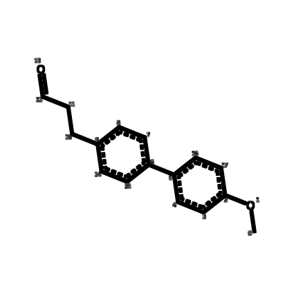 COc1ccc(-c2ccc(CCC=O)cc2)cc1